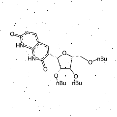 CCCCOC[C@H]1O[C@@H](c2cc3ccc(=O)[nH]c3[nH]c2=O)[C@@H](OCCCC)C1OCCCC